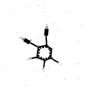 N#Cc1cc(F)c(F)c(F)c1C#N